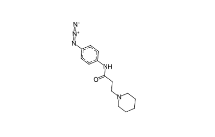 [N-]=[N+]=Nc1ccc(NC(=O)CCN2CCCCC2)cc1